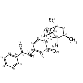 CC[C@@]12C[C@@H](C)[C@@H]([C@H](n3ccc(NC(=O)c4ccccc4)nc3=O)O1)[C@@H]2O